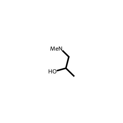 CNCC(C)O